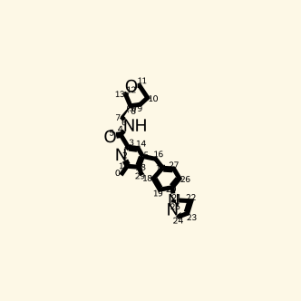 Cc1nc(C(=O)NC[C@@H]2CCCOC2)cc(Cc2ccc(-n3cccn3)cc2)c1C